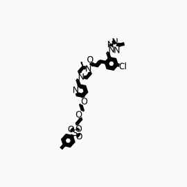 Cc1ccc(S(=O)(=O)OCCOCCOc2ccc(CN3CCN(C(=O)/C=C/c4ccc(Cl)cc4Cn4nnc(C)n4)[C@H](C)C3)nc2)cc1